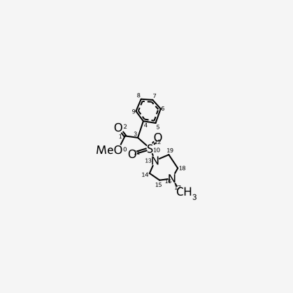 COC(=O)C(c1ccccc1)S(=O)(=O)N1CCN(C)CC1